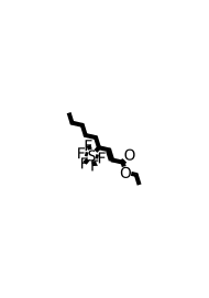 CCCCCC(/C=C/C(=O)OCC)S(F)(F)(F)(F)F